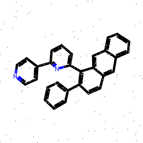 c1ccc(-c2ccc3cc4ccccc4cc3c2-c2cccc(-c3ccncc3)n2)cc1